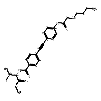 C[C@@H](O)[C@H](NC(=O)c1ccc(C#Cc2ccc(NC(=O)CNCCCN)cc2)cc1)C(=O)NO